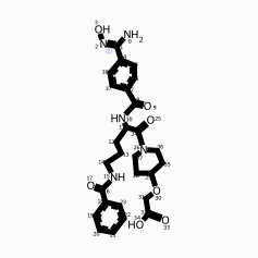 N/C(=N\O)c1ccc(C(=O)NC(CCCNC(=O)c2ccccc2)C(=O)N2CCC(OCC(=O)O)CC2)cc1